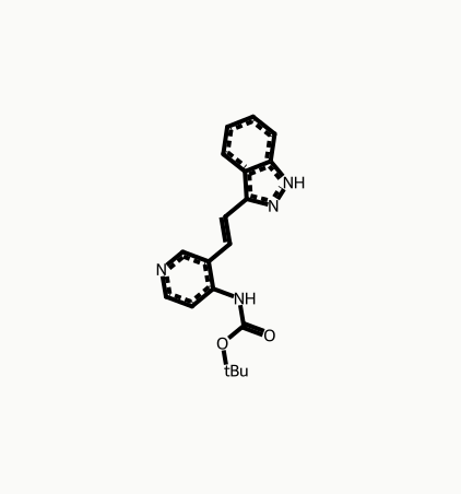 CC(C)(C)OC(=O)Nc1ccncc1C=Cc1n[nH]c2ccccc12